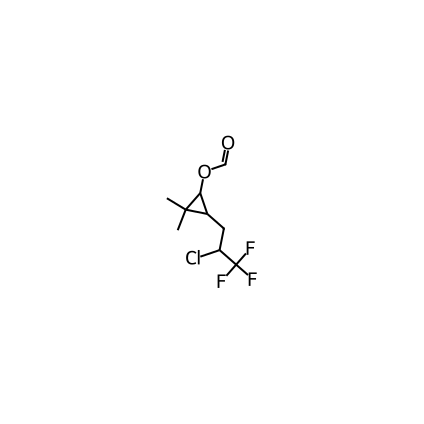 CC1(C)C(CC(Cl)C(F)(F)F)C1OC=O